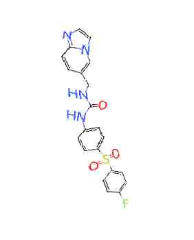 O=C(NCc1ccc2nccn2c1)Nc1ccc(S(=O)(=O)c2ccc(F)cc2)cc1